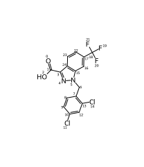 O=C(O)c1nn(Cc2ccc(Cl)cc2Cl)c2cc(C(F)(F)F)ccc12